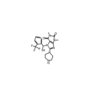 Cn1c(=O)c2c(nc(N3CCNCC3)n2C(S)c2ccccc2C(F)(F)F)n(C)c1=O